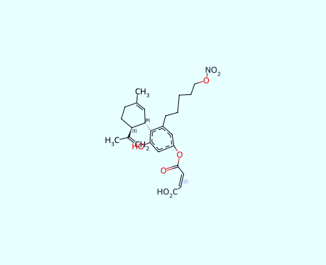 C=C(C)[C@H]1CCC(C)=C[C@@H]1c1c(O)cc(OC(=O)/C=C\C(=O)O)cc1CCCCCO[N+](=O)[O-]